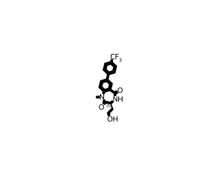 CN1C(=O)[C@H](CCO)NC(=O)c2cc(-c3ccc(C(F)(F)F)cc3)ccc21